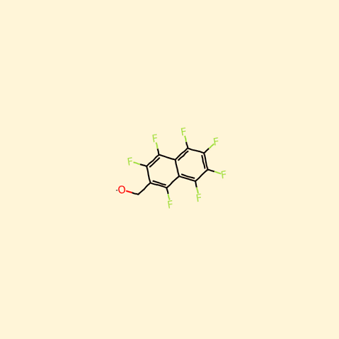 [O]Cc1c(F)c(F)c2c(F)c(F)c(F)c(F)c2c1F